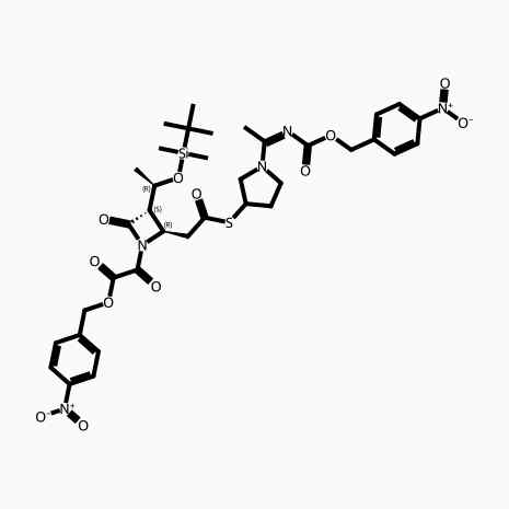 CC(=NC(=O)OCc1ccc([N+](=O)[O-])cc1)N1CCC(SC(=O)C[C@@H]2[C@@H]([C@@H](C)O[Si](C)(C)C(C)(C)C)C(=O)N2C(=O)C(=O)OCc2ccc([N+](=O)[O-])cc2)C1